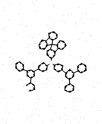 c1ccc(-c2cc(-c3ccccc3)cc(-c3ccc(N(c4ccc(-c5cc(-c6ccccc6)cc(-c6ccccc6)c5)cc4)c4ccc5c(c4)-c4ccccc4C54c5ccccc5-c5ccccc54)cc3)c2)cc1